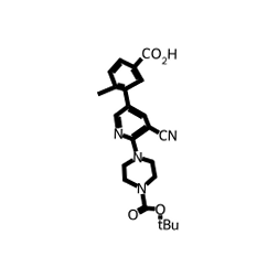 Cc1ccc(C(=O)O)cc1-c1cnc(N2CCN(C(=O)OC(C)(C)C)CC2)c(C#N)c1